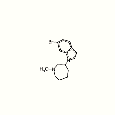 CN1CCCCC(n2ccc3ccc(Br)cc32)C1